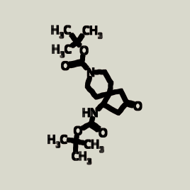 CC(C)(C)OC(=O)NC1CC(=O)CC12CCN(C(=O)OC(C)(C)C)CC2